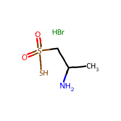 Br.CC(N)CS(=O)(=O)S